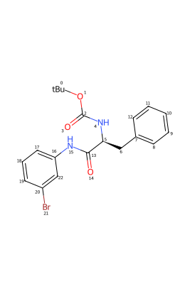 CC(C)(C)OC(=O)N[C@@H](Cc1ccccc1)C(=O)Nc1cccc(Br)c1